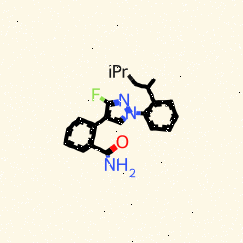 CC(C)CC(C)c1ccccc1-n1cc(-c2ccccc2C(N)=O)c(F)n1